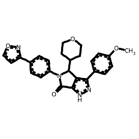 COc1ccc(-c2n[nH]c3c2C(C2CCOCC2)N(c2ccc(-c4ccon4)cc2)C3=O)cc1